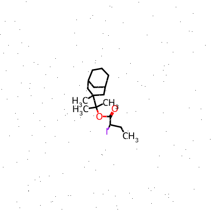 CCC(I)C(=O)OC(C)(C)C1(C)CC2CCCC(C2)C1